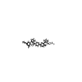 CCn1ncnc1-c1nc(N2CCN(C(=O)N3N=CC[C@H]3c3cc(F)cc(C#N)c3)CC2)ncc1F